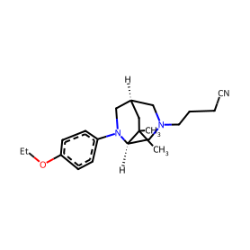 CCOc1ccc(N2C[C@H]3CN(CCCC#N)C[C@@H]2C(C)(C)C3)cc1